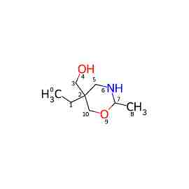 CCC1(CO)CNC(C)OC1